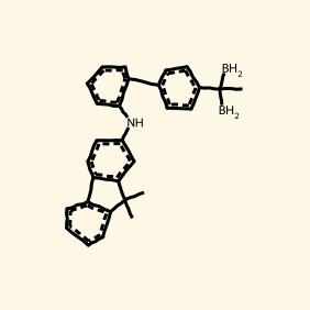 BC(B)(C)c1ccc(-c2ccccc2Nc2ccc3c(c2)C(C)(C)c2ccccc2-3)cc1